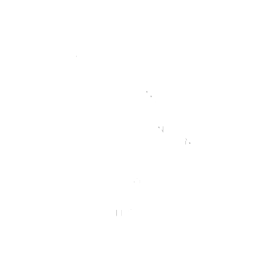 Cc1ccc(Cc2cnc3cc4c5ccccc5n(Cc5cccc(Cl)c5)c4cn23)o1